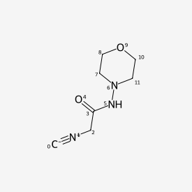 [C-]#[N+]CC(=O)NN1CCOCC1